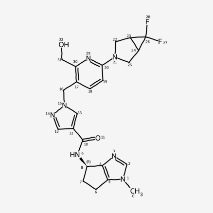 Cn1cnc2c1CC[C@H]2NC(=O)c1cnn(Cc2ccc(N3CC4C(C3)C4(F)F)nc2CO)c1